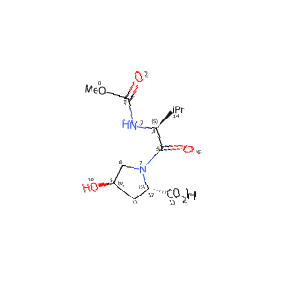 COC(=O)N[C@H](C(=O)N1C[C@H](O)C[C@H]1C(=O)O)C(C)C